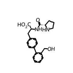 O=C(O)[C@H](Cc1ccc(-c2ccccc2CO)cc1)NC(=O)[C@@H]1CCCN1